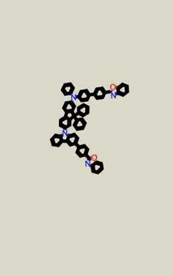 c1ccc(N(c2ccc(-c3ccc(-c4nc5ccccc5o4)cc3)cc2)c2ccc3c(c2)C(c2ccccc2)(c2ccccc2)c2cc(-n4c5ccccc5c5cc(-c6ccc(-c7nc8ccccc8o7)cc6)ccc54)ccc2-3)cc1